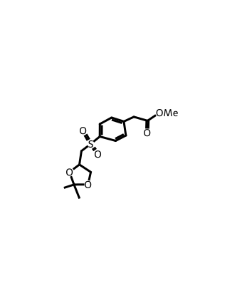 COC(=O)Cc1ccc(S(=O)(=O)CC2COC(C)(C)O2)cc1